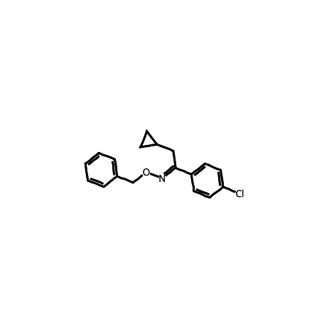 Clc1ccc(C(CC2CC2)=NOCc2ccccc2)cc1